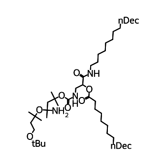 CCCCCCCCCCCCCCCCCCNC(=O)C(CNC(=O)OC(C)(C)CC(C)(N)OC(C)(C)CCOC(C)(C)C)OC(=O)CCCCCCCCCCCCCCCCC